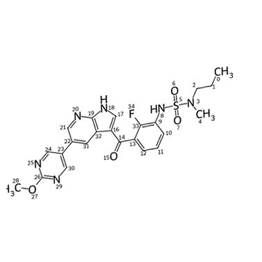 CCCN(C)S(=O)(=O)Nc1cccc(C(=O)c2c[nH]c3ncc(-c4cnc(OC)nc4)cc23)c1F